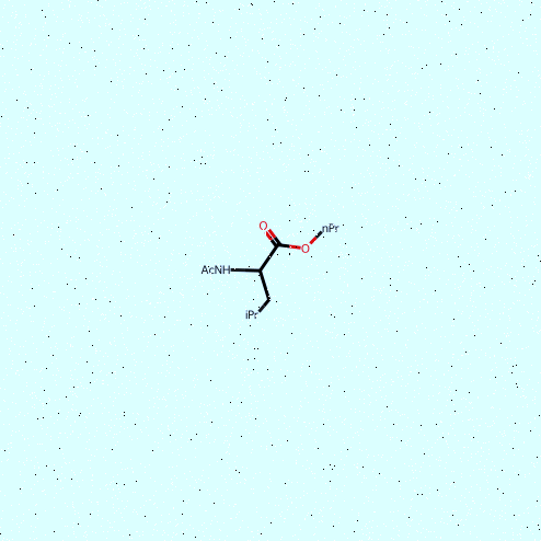 CCCOC(=O)C(CC(C)C)NC(C)=O